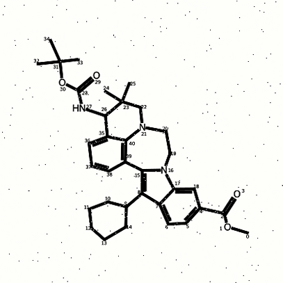 COC(=O)c1ccc2c(C3CCCCC3)c3n(c2c1)CCN1CC(C)(C)C(NC(=O)OC(C)(C)C)c2cccc-3c21